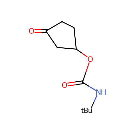 CC(C)(C)NC(=O)OC1CCC(=O)C1